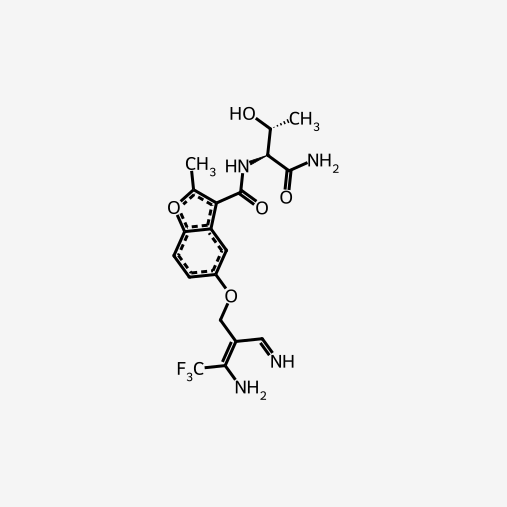 Cc1oc2ccc(OC/C(C=N)=C(/N)C(F)(F)F)cc2c1C(=O)N[C@H](C(N)=O)[C@@H](C)O